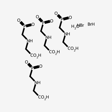 Br.Br.O.O=C(O)CNCP(=O)=O.O=C(O)CNCP(=O)=O.O=C(O)CNCP(=O)=O.O=C(O)CNCP(=O)=O